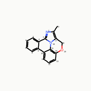 Cc1nc2c3ccccc3c3cccc4c3n2c1CO4